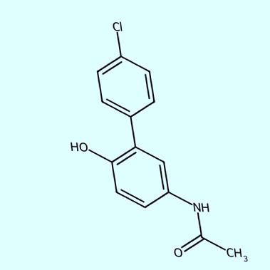 CC(=O)Nc1ccc(O)c(-c2ccc(Cl)cc2)c1